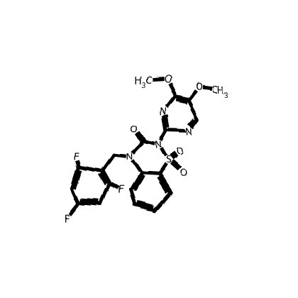 COc1cnc(N2C(=O)N(Cc3c(F)cc(F)cc3F)c3ccccc3S2(=O)=O)nc1OC